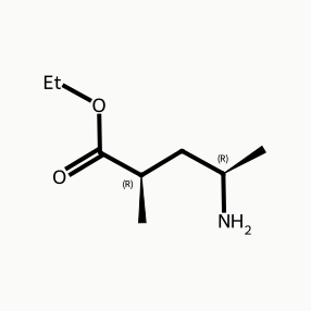 CCOC(=O)[C@H](C)C[C@@H](C)N